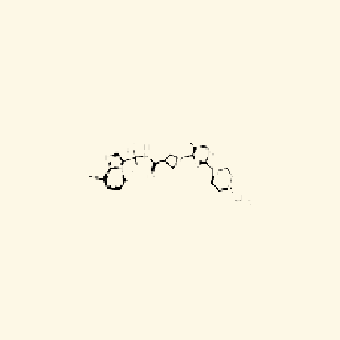 CN1CCN(c2ncc(F)c(N3CC(C(=O)NC(C)(C)c4cnc5c(F)cccn45)C3)n2)CC1